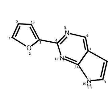 c1coc(-c2ncc3cc[nH]c3n2)c1